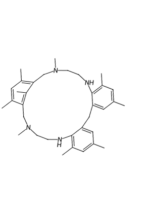 Cc1cc(C)c2c(c1)Cc1cc(C)cc(C)c1NCCN(C)Cc1c(C)cc(C)c(c1C)CN(C)CCN2